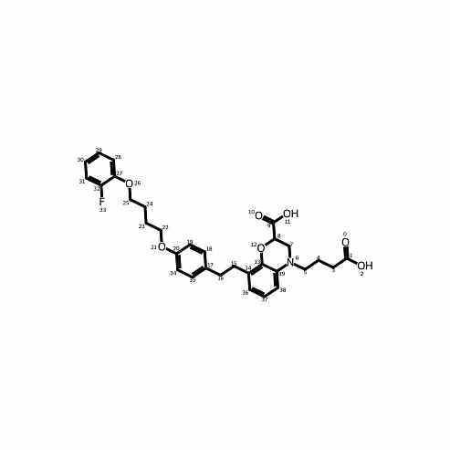 O=C(O)CCCN1CC(C(=O)O)Oc2c(CCc3ccc(OCCCCOc4ccccc4F)cc3)cccc21